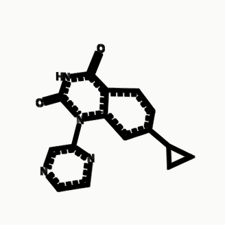 O=c1[nH]c(=O)n(-c2cnccn2)c2cc(C3CC3)ccc12